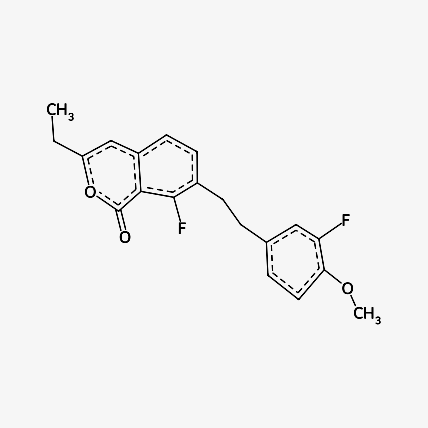 CCc1cc2ccc(CCc3ccc(OC)c(F)c3)c(F)c2c(=O)o1